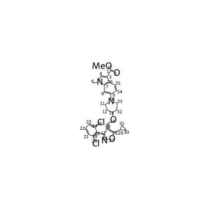 COC(=O)c1cn(C)c2cc(N3CCC(OCc4c(-c5c(Cl)cccc5Cl)noc4C4CC4)CC3)ccc12